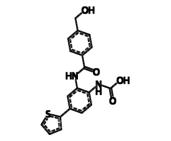 O=C(O)Nc1ccc(-c2cccs2)cc1NC(=O)c1ccc(CO)cc1